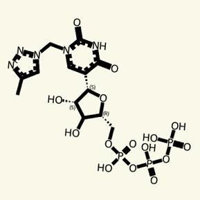 Cc1cn(Cn2cc([C@@H]3O[C@H](COP(=O)(O)OP(=O)(O)OP(=O)(O)O)C(O)[C@@H]3O)c(=O)[nH]c2=O)nn1